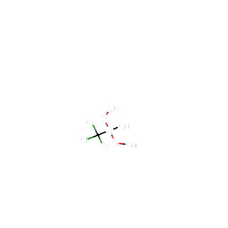 CO[Si](C)(OC)C(Cl)(Cl)Cl